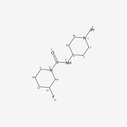 CC(C)N1CCC(NC(=O)N2CCCC(F)C2)CC1